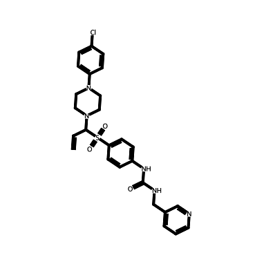 C=CC(N1CCN(c2ccc(Cl)cc2)CC1)S(=O)(=O)c1ccc(NC(=O)NCc2cccnc2)cc1